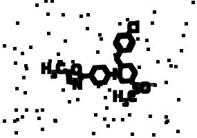 Cc1cnc(C2CCC(N3CC([S+](C)[O-])CCC3Cc3ccc(Cl)cc3)CC2)o1